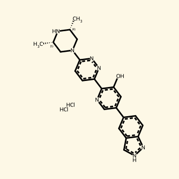 C[C@@H]1CN(c2ccc(-c3ncc(-c4ccc5n[nH]cc5c4)cc3O)nn2)C[C@H](C)N1.Cl.Cl